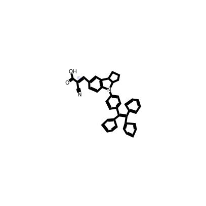 N#C/C(=C\c1ccc2c(c1)C1CCCC1N2c1ccc(C(=C(c2ccccc2)c2ccccc2)c2ccccc2)cc1)C(=O)O